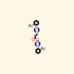 CC(=O)c1ccccc1N1CCN(CCC(=O)ON2CCN(c3ccccc3C(C)=O)CC2)CC1